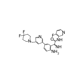 N=C(C(=O)Nc1cnccc1F)c1cc(-c2cncc(CN3CCC(F)(F)CC3)c2)ccc1N